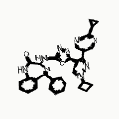 O=C1Nc2ccccc2C(c2ccccc2)=N[C@@H]1Nc1nnc(-c2cn(C3CCC3)nc2-c2cnc(C3CC3)nc2)o1